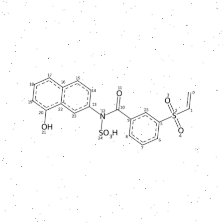 C=CS(=O)(=O)c1cccc(C(=O)N(c2ccc3cccc(O)c3c2)S(=O)(=O)O)c1